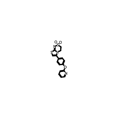 O=S1(=O)CCN2C(c3ccc(Oc4ccccn4)cc3)=CSC2=N1